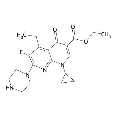 CCOC(=O)c1cn(C2CC2)c2nc(N3CCNCC3)c(F)c(CC)c2c1=O